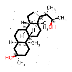 C[C@@H]([C@H]1CC[C@H]2[C@@H]3CC[C@@H]4C[C@@](O)(C(F)(F)F)CC[C@]4(C)[C@H]3CC[C@]12C)[C@@H](C)O